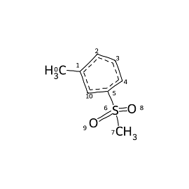 Cc1cccc(S(C)(=O)=O)c1